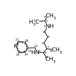 CC(C)NCCCC(C)C(C)NCc1ccncc1